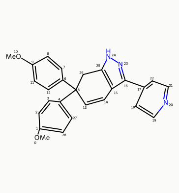 COc1ccc(C2(c3ccc(OC)cc3)C=Cc3c(-c4ccncc4)n[nH]c3C2)cc1